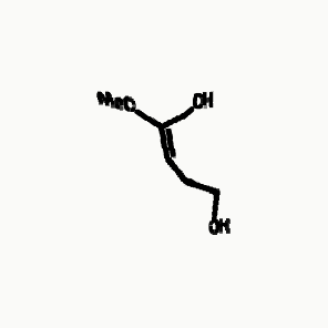 COC(O)=CCO